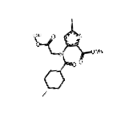 COC(=O)c1sc(I)cc1N(CC(=O)OC(C)(C)C)C(=O)[C@H]1CC[C@H](C)CC1